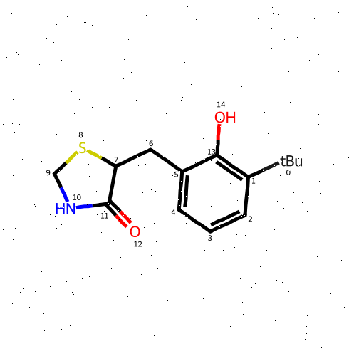 CC(C)(C)c1cccc(CC2SCNC2=O)c1O